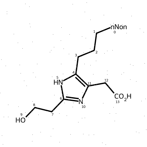 CCCCCCCCCCCCc1[nH]c(CCO)nc1CC(=O)O